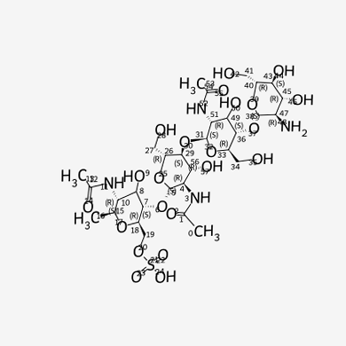 CC(=O)N[C@H]1[C@H](O[C@H]2C(O)[C@@H](NC(C)=O)[C@H](C)O[C@@H]2COS(=O)(=O)O)O[C@H](CO)[C@@H](O[C@@H]2O[C@H](CO)[C@@H](O[C@@H]3O[C@H](CO)[C@@H](O)[C@H](O)[C@H]3N)C(O)[C@H]2NC(C)=O)[C@@H]1O